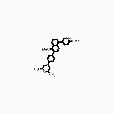 COC1=CC=C(c2cccc3c(OC)c(-c4ccc(N5CC(C)OC(C)C5)cc4)cnc23)CN1